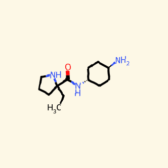 CCC1(C(=O)N[C@H]2CC[C@H](N)CC2)CCCN1